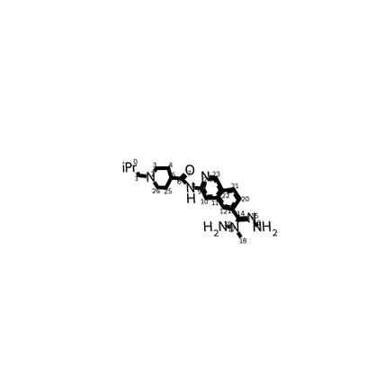 CC(C)CN1CCC(C(=O)Nc2cc3cc(/C(=N/N)N(C)N)ccc3cn2)CC1